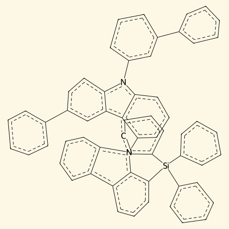 c1ccc(-c2cccc(-n3c4ccc(-c5ccccc5)cc4c4c(-n5c6ccccc6c6cccc([Si](c7ccccc7)(c7ccccc7)c7ccccc7)c65)cccc43)c2)cc1